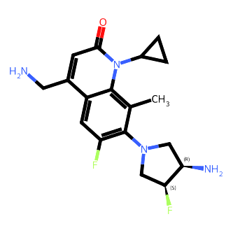 Cc1c(N2C[C@@H](N)[C@@H](F)C2)c(F)cc2c(CN)cc(=O)n(C3CC3)c12